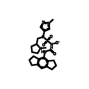 CN1CCCC1CN(c1cnn(C)c1)S(=O)(=O)[NH+]([O-])C(=O)Nc1c2c(cc3c1CCC3)CCC2